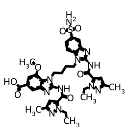 CCn1nc(C)cc1C(=O)Nc1nc2cc(S(N)(=O)=O)ccc2n1CCCCn1c(NC(=O)c2cc(C)nn2CC)nc2cc(C(=O)O)cc(OC)c21